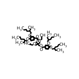 C#CCOCC(COCC#C)(COC(=O)c1ccc(OCC(CC)CCCC)c(OCC(CC)CCCC)c1)COC(=O)c1ccc(OCC(CC)CCCC)c(OCC(CC)CCCC)c1